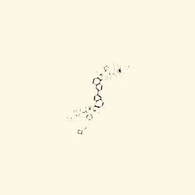 COC(=O)N[C@H](C(=O)N1C[C@@H](C)C[C@H]1c1nc2ccc3cc(-c4ccc5c(ccc6nc([C@@H]7C[C@H](COCC8CCC8)CN7C(=O)[C@@H](NC(=O)OC)C(C)C)[nH]c65)c4)ccc3c2[nH]1)C(C)C